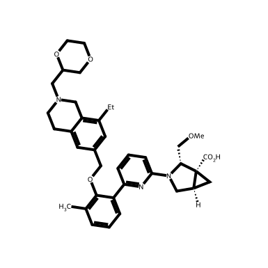 CCc1cc(COc2c(C)cccc2-c2cccc(N3C[C@@H]4C[C@]4(C(=O)O)[C@H]3COC)n2)cc2c1CN(CC1COCCO1)CC2